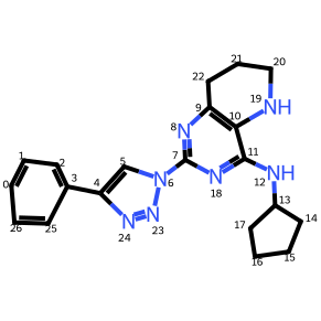 c1ccc(-c2cn(-c3nc4c(c(NC5CCCC5)n3)NCCC4)nn2)cc1